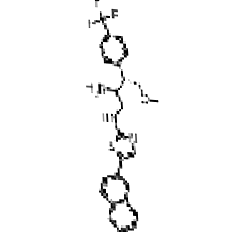 COC[C@@H](c1ccc(C(F)(F)F)cc1)[C@H](N)CNc1ncc(-c2ccc3cnccc3c2)s1